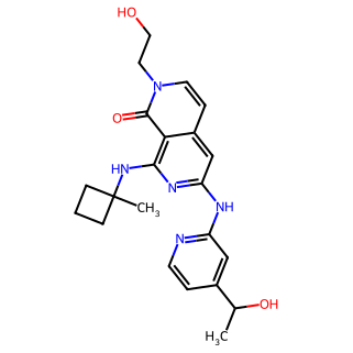 CC(O)c1ccnc(Nc2cc3ccn(CCO)c(=O)c3c(NC3(C)CCC3)n2)c1